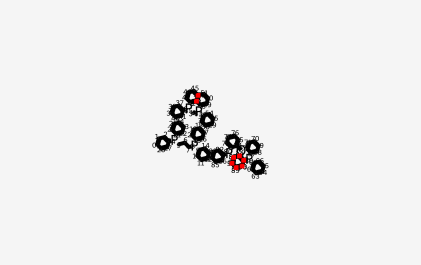 c1ccc(P(CCCP(c2ccccc2)c2ccccc2)c2ccccc2)cc1.c1ccc(P(CP(c2ccccc2)c2ccccc2)c2ccccc2)cc1.c1ccc(P(c2ccccc2)c2ccccc2Oc2ccccc2P(c2ccccc2)c2ccccc2)cc1